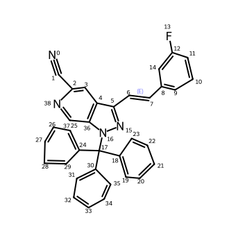 N#Cc1cc2c(/C=C/c3cccc(F)c3)nn(C(c3ccccc3)(c3ccccc3)c3ccccc3)c2cn1